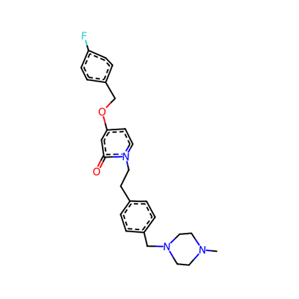 CN1CCN(Cc2ccc(CCn3ccc(OCc4ccc(F)cc4)cc3=O)cc2)CC1